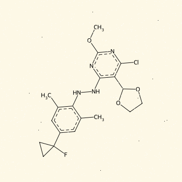 COc1nc(Cl)c(C2OCCO2)c(NNc2c(C)cc(C3(F)CC3)cc2C)n1